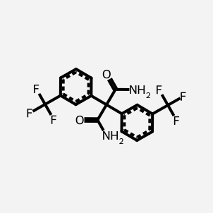 NC(=O)C(C(N)=O)(c1cccc(C(F)(F)F)c1)c1cccc(C(F)(F)F)c1